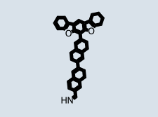 N=Cc1ccc2c(c1)CCC(C1=CC3=C(C=C(c4c5oc6c(c5cc5c7c(oc45)CCCC7)CCC=C6)CC3)CC1)=C2